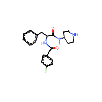 O=C(NC(Cc1ccccc1)C(=O)NC1CCNCC1)c1ccc(F)cc1